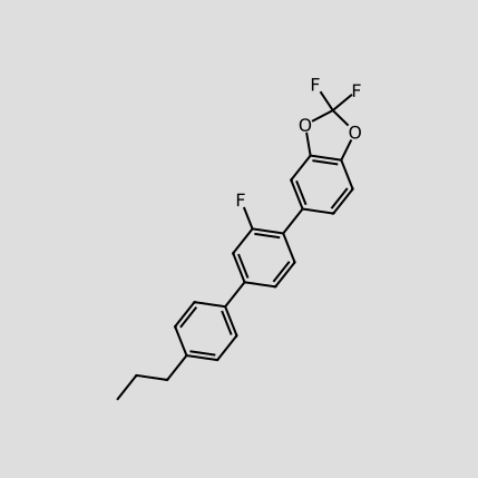 CCCc1ccc(-c2ccc(-c3ccc4c(c3)OC(F)(F)O4)c(F)c2)cc1